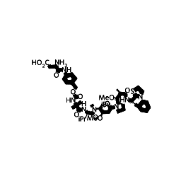 CC[C@H](C)[C@@H]([C@@H](CC(=O)N1CCC[C@H]1[C@H](OC)[C@@H](C)C(=O)N[C@@H](Cc1ccccc1)c1nccs1)OC)N(C)C(=O)[C@@H](NC(=O)C(C)(C)NC(=O)OCc1ccc(NC(=O)[C@@H](N)CC(=O)O)cc1)C(C)C